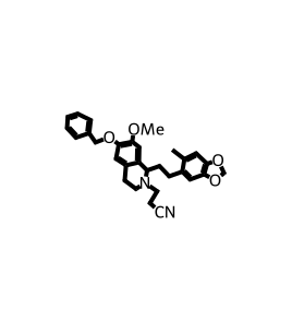 COc1cc2c(cc1OCc1ccccc1)CCN(CCC#N)C2CCc1cc2c(cc1C)OCO2